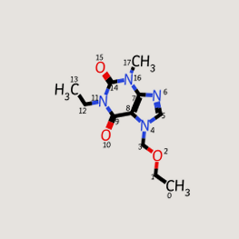 CCOCn1cnc2c1c(=O)n(CC)c(=O)n2C